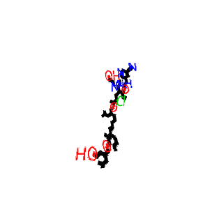 CC\C=C/C(/C=C/C/C=C\C(=C\C(C)C)CO/C(C)=C(Cl)/C=C(/C(=N/CCO)NC)C(CC)OCCc1cncc(C#N)c1)=C(/C)COCC(CCO)CC(C)C